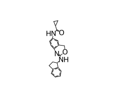 O=C(Nc1ccc2c(c1)COC(N[C@@H]1CCc3ccccc31)=N2)C1CC1